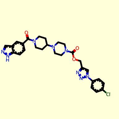 O=C(OCc1cn(-c2ccc(Cl)cc2)nn1)N1CCN(C2CCN(C(=O)c3ccc4[nH]ncc4c3)CC2)CC1